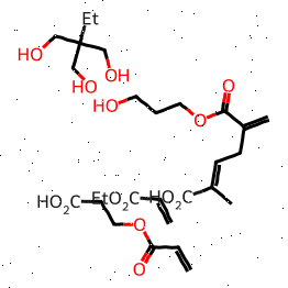 C=C(CC=C(C)C(=O)O)C(=O)OCCCO.C=CC(=O)OCC.C=CC(=O)OCCC(=O)O.CCC(CO)(CO)CO